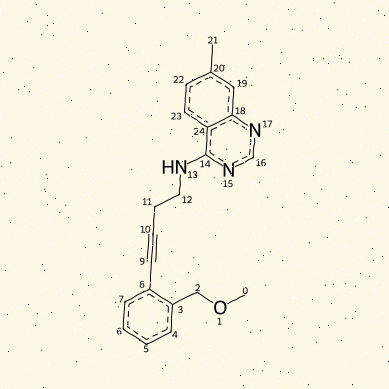 COCc1ccccc1C#CCCNc1ncnc2cc(C)ccc12